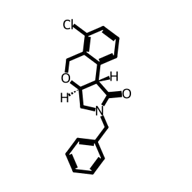 O=C1[C@H]2c3cccc(Cl)c3CO[C@@H]2CN1Cc1ccccc1